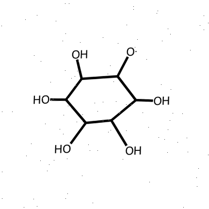 [O]C1C(O)C(O)C(O)C(O)C1O